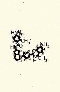 Cc1c(C(=O)NC2CC3CCCN(c4ccc(C(=O)N[C@@H](C)c5ccc(N)cc5)cn4)C3C2)ccc2[nH]nnc12